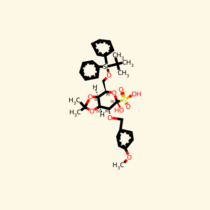 COc1ccc(CO[C@@H]2[C@H]3OC(C)(C)O[C@H]3[C@@H](CO[Si](c3ccccc3)(c3ccccc3)C(C)(C)C)O[C@]2(O)S(=O)(=O)O)cc1